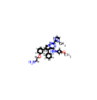 COC1CC(Nc2nc(-c3nccn3C)nn3cc(-c4cccc(OCCN)c4)c(-c4ccccc4)c23)C1